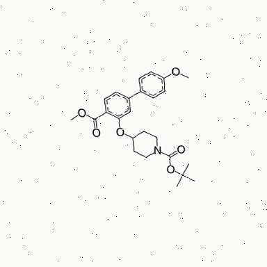 COC(=O)c1ccc(-c2ccc(OC)cc2)cc1OC1CCN(C(=O)OC(C)(C)C)CC1